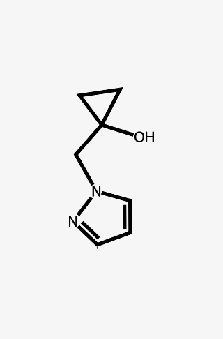 OC1(Cn2cc[c]n2)CC1